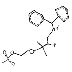 CC(C)(OCCOS(C)(=O)=O)C(F)CNC(c1ccccc1)c1ccccc1